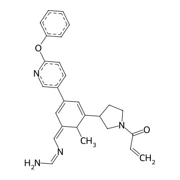 C=CC(=O)N1CCC(C2=CC(c3ccc(Oc4ccccc4)nc3)=C/C(=C/N=C\N)C2C)C1